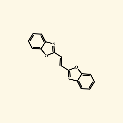 C(=Cc1nc2ccccc2o1)c1nc2ccccc2o1